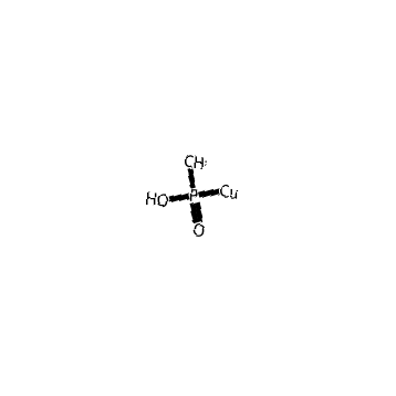 [CH][P](=O)(O)[Cu]